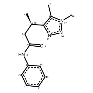 Cc1c([C@H](C)CC(=O)Nc2ccccc2)nnn1C